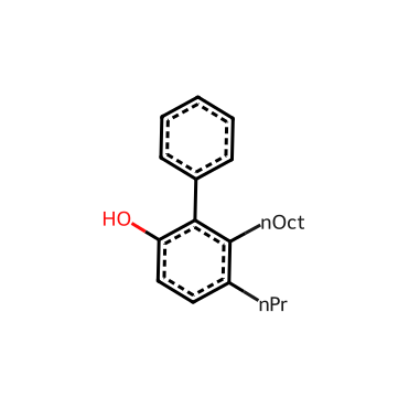 CCCCCCCCc1c(CCC)ccc(O)c1-c1ccccc1